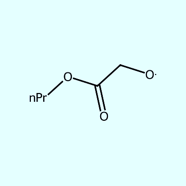 CCCOC(=O)C[O]